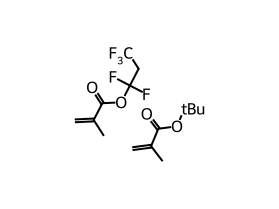 C=C(C)C(=O)OC(C)(C)C.C=C(C)C(=O)OC(F)(F)CC(F)(F)F